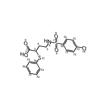 O=C(O)C(CCNS(=O)(=O)c1ccc(Cl)cc1)Sc1ccccc1